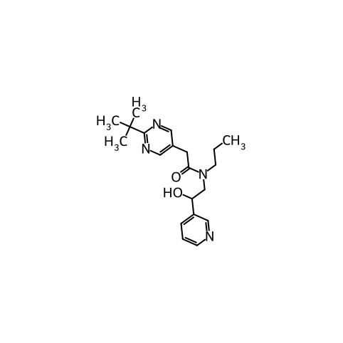 CCCN(CC(O)c1cccnc1)C(=O)Cc1cnc(C(C)(C)C)nc1